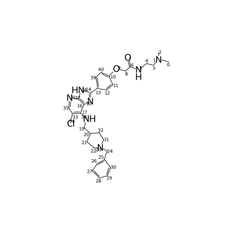 CN(C)CCNC(=O)COc1ccc(-c2nc3c(NCC4CCN(Cc5ccccc5)CC4)c(Cl)cnc3[nH]2)cc1